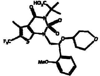 COc1ccccc1[C@H](CN1c2sc(C(F)(F)F)c(C)c2C(=O)N(C(C)(C)C(=O)O)S1(=O)=O)OC1CCOCC1